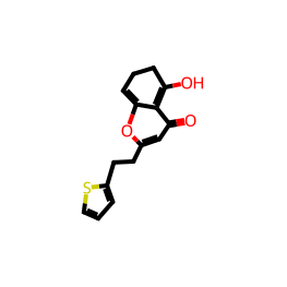 O=c1cc(CCc2cccs2)oc2c1=C(O)CCC=2